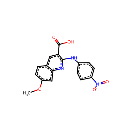 COc1ccc2cc(C(=O)O)c(Nc3ccc([N+](=O)[O-])cc3)nc2c1